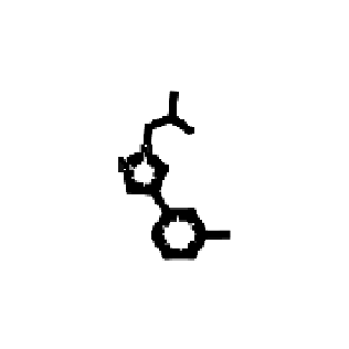 Cc1cccc(-c2cnn(CC(C)C)c2)c1